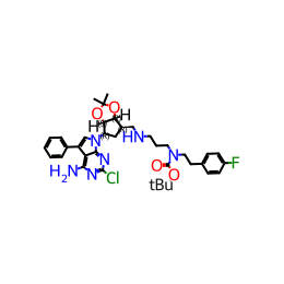 CC(C)(C)OC(=O)N(CCCNC[C@H]1C[C@@H](n2cc(-c3ccccc3)c3c(N)nc(Cl)nc32)[C@@H]2OC(C)(C)O[C@H]12)CCc1ccc(F)cc1